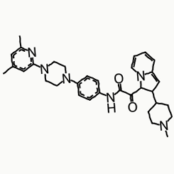 Cc1cc(C)nc(N2CCN(c3ccc(NC(=O)C(=O)C4C(C5CCN(C)CC5)C=C5C=CC=CN54)cc3)CC2)c1